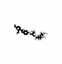 CCc1ccc(-c2cc3ccc(OCC(COC(=O)C(C)(C)C(C)(N)CC(C)(C)N)C(F)(F)F)cc3o2)c(CC)n1